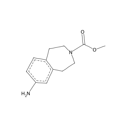 COC(=O)N1CCc2ccc(N)cc2CC1